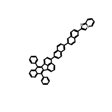 c1ccc(-c2c3c(c(-c4ccccc4)c4ccccc24)-c2ccc(-c4ccc5cc(-c6ccc7cc(-c8cn9ccccc9n8)ccc7c6)ccc5c4)c4cccc-3c24)cc1